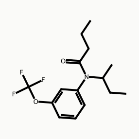 CCCC(=O)N(c1cccc(OC(F)(F)F)c1)C(C)CC